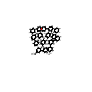 CC(C)(C)c1ccc2c(c1)c1cc(C(C)(C)C)ccc1n2-c1cc2c3c(c1)N(c1cc(-c4ccccc4)cc(-c4ccccc4)c1)c1cc([Si](c4ccccc4)(c4ccccc4)c4cccc(-c5ccccc5)c4)ccc1B3c1ccc([Si](c3ccccc3)(c3ccccc3)c3cccc(-c4ccccc4)c3)cc1O2